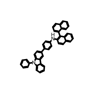 c1ccc(-n2c3ccccc3c3cc(-c4ccc(Nc5ccc6ccccc6c5-c5cccc6ccccc56)cc4)ccc32)cc1